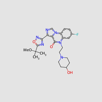 COC(C)(C)c1nc(-c2ncn3c2c(=O)n(CCN2CCC(O)CC2)c2cc(F)ccc23)no1